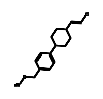 CCCOCc1ccc(C2CCC(/C=C/Cl)CC2)cc1